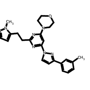 Cc1cccc(-c2ccn(-c3cc(N4CCOCC4)nc(CCc4ccnn4C)n3)n2)c1